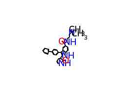 CN(C)CCCNC(=O)c1ccc2[nH]c(-c3ccc[nH]c3=O)c(-c3ccc(-c4ccccc4)cc3)c2c1